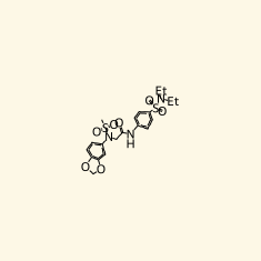 CCN(CC)S(=O)(=O)c1ccc(NC(=O)CN(c2ccc3c(c2)OCO3)S(C)(=O)=O)cc1